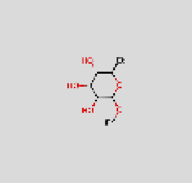 CC[C@H]1O[C@@H](OC(C)C)[C@@H](O)[C@@H](O)[C@@H]1O